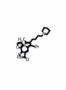 Cc1[nH]c(/C=C2/C(=O)NN=C2c2ccco2)c(C(C)C)c1CCCCN1CCCCC1